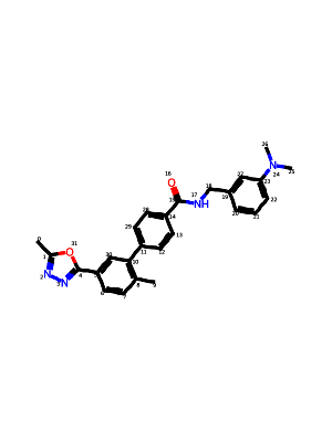 Cc1nnc(-c2ccc(C)c(-c3ccc(C(=O)NCc4cccc(N(C)C)c4)cc3)c2)o1